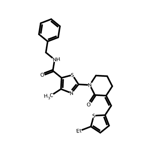 CCc1ccc(C=C2CCCN(c3nc(C)c(C(=O)NCc4ccccc4)s3)C2=O)s1